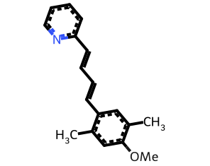 COc1cc(C)c(C=CC=Cc2ccccn2)cc1C